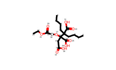 CCCCC(CCCC)(C(=O)O)C(CC(=O)O)(OCC(=O)OCC)C(=O)O